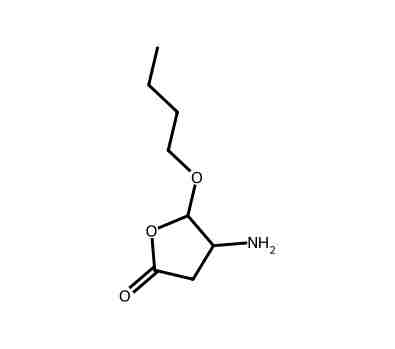 CCCCOC1OC(=O)CC1N